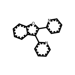 c1ccc(-c2oc3ccccc3c2-c2ccccn2)nc1